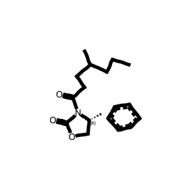 CCCC(C)CCC(=O)N1C(=O)OC[C@H]1C.c1ccccc1